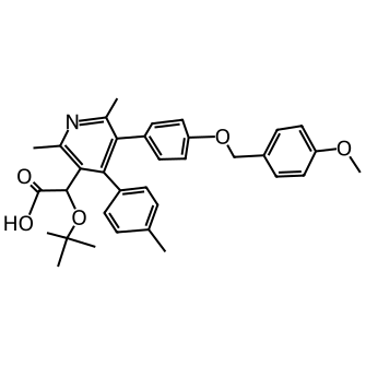 COc1ccc(COc2ccc(-c3c(C)nc(C)c(C(OC(C)(C)C)C(=O)O)c3-c3ccc(C)cc3)cc2)cc1